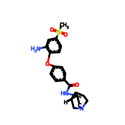 CS(=O)(=O)c1ccc(Oc2ccc(C(=O)N[C@H]3CN4CCC3CC4)cc2)c(N)c1